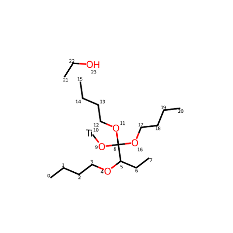 CCCCOC(CC)C([O][Ti])(OCCCC)OCCCC.CCO